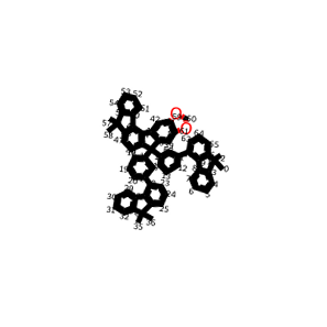 CC1(C)c2ccccc2-c2c(-c3cccc(C4(c5cccc(-c6cccc7c6-c6ccccc6C7(C)C)c5)c5cc6c(cc5-c5c4ccc4c5-c5ccccc5C4(C)C)OCO6)c3)cccc21